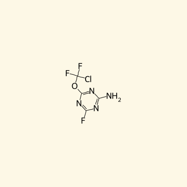 Nc1nc(F)nc(OC(F)(F)Cl)n1